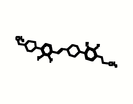 CCCc1ccc(C2CCC(/C=C/c3ccc(C4CCC(CC)CC4)c(F)c3F)CC2)c(F)c1F